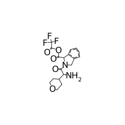 N[C@H](C(=O)N1Cc2ccccc2C1C(=O)OC(=O)C(F)(F)F)C1CCOCC1